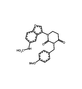 COc1ccc(CN2C(=O)CCN(c3coc4ccc(NC(=O)O)cc34)C2=O)cc1